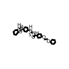 O=C(NC(=S)Nc1ccc(S(=O)(=O)Nc2ccccc2)cc1)c1ccc(OCCOc2ccccc2)cc1